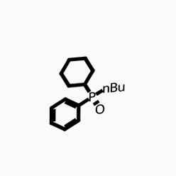 CCCCP(=O)(c1ccccc1)C1CCCCC1